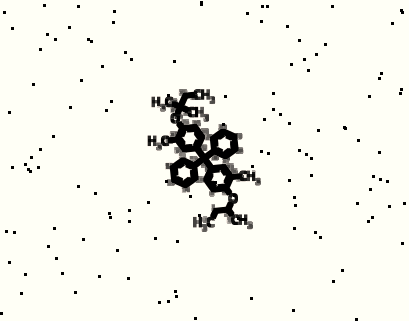 CCC(C)Oc1ccc(C(c2ccccc2)(c2ccccc2)c2ccc(OC(C)(C)CC)c(C)c2)cc1C